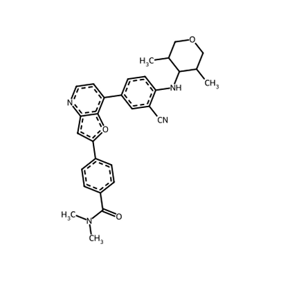 CC1COCC(C)C1Nc1ccc(-c2ccnc3cc(-c4ccc(C(=O)N(C)C)cc4)oc23)cc1C#N